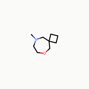 CN1CCOCC2(CCC2)C1